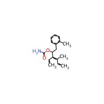 C=C/C(C)=C(\C=C)C(Cc1ccccc1C)OC(N)=O